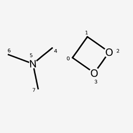 C1COO1.CN(C)C